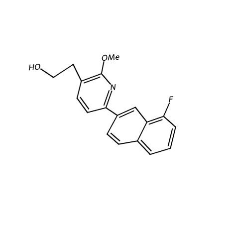 COc1nc(-c2ccc3cccc(F)c3c2)ccc1CCO